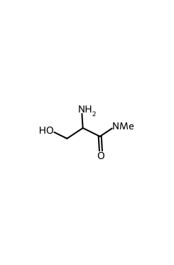 CNC(=O)C(N)CO